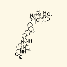 COC(=O)N[C@H](C(=O)N1C[C@@H](C)CC1c1nc2ccc3cc4c(cc3c2[nH]1)OCc1cc(-c2cnc([C@@H]3C[C@H](C)CN3C(=O)[C@@H](NC(=O)OC)C(C)C)[nH]2)ccc1-4)C(C)C